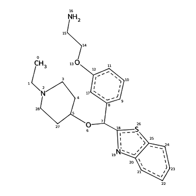 CCN1CCC(OC(c2cccc(OCCN)c2)c2nc3ccccc3s2)CC1